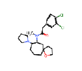 CN(C(=O)Cc1ccc(Cl)c(Cl)c1)C1CC2(CCCO2)CCCC1N1CCCC1